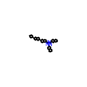 c1ccc(-c2ccc3cc(-c4ccc5cc(-c6nc(-c7ccc8ccccc8c7)nc(-c7ccc8ccccc8c7)n6)ccc5c4)ccc3c2)cc1